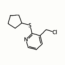 ClCc1cccnc1SC1CCCC1